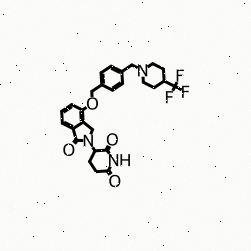 O=C1CCC(N2Cc3c(OCc4ccc(CN5CCC(C(F)(F)F)CC5)cc4)cccc3C2=O)C(=O)N1